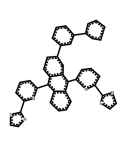 c1ccc(-c2cccc(-c3ccc4c(-c5cccc(-c6nccs6)n5)c5ccccc5c(-c5cccc(-c6nccs6)n5)c4c3)c2)cc1